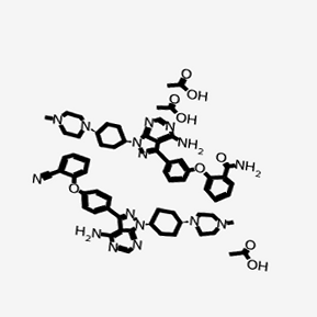 CC(=O)O.CC(=O)O.CC(=O)O.CN1CCN([C@H]2CC[C@@H](n3nc(-c4ccc(Oc5ccccc5C#N)cc4)c4c(N)ncnc43)CC2)CC1.CN1CCN([C@H]2CC[C@@H](n3nc(-c4cccc(Oc5ccccc5C(N)=O)c4)c4c(N)ncnc43)CC2)CC1